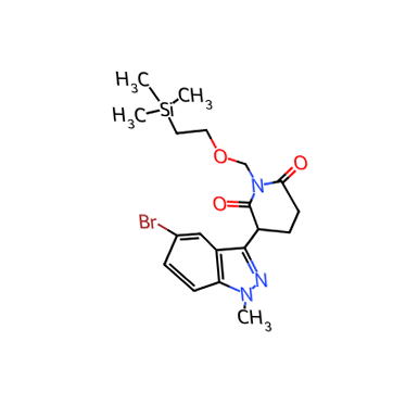 Cn1nc(C2CCC(=O)N(COCC[Si](C)(C)C)C2=O)c2cc(Br)ccc21